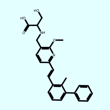 COc1nc(C=Cc2cccc(-c3ccccc3)c2C)ccc1CNC(CO)C(=O)O